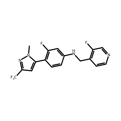 Cn1nc(C(F)(F)F)cc1-c1ccc(NCc2ccncc2F)cc1F